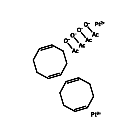 C1=CCCC=CCC1.C1=CCCC=CCC1.CC(=O)[O-].CC(=O)[O-].CC(=O)[O-].CC(=O)[O-].[Pt+2].[Pt+2]